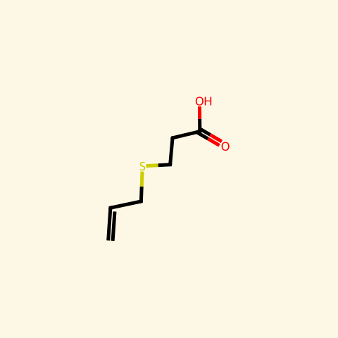 C=CCSCCC(=O)O